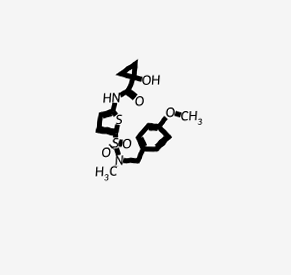 COc1ccc(CN(C)S(=O)(=O)c2ccc(NC(=O)C3(O)CC3)s2)cc1